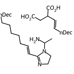 CCCCCCCCCCC=CC(CC(=O)O)C(=O)O.CCCCCCCCCCCCCCCC=CC1=NCCN1C(C)N